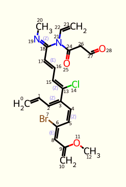 C=C/C=C(/C=C\C(Br)=C/C(=C)OC)C(\Cl)=C\C=C\C(=N\C)N(C=C)C(=O)CC=O